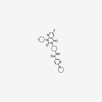 O=C(NC1CCC(n2c(=O)c3cc(F)cnc3n(C3CCSCC3)c2=O)CC1)c1ccc(N2CCCCC2)nc1